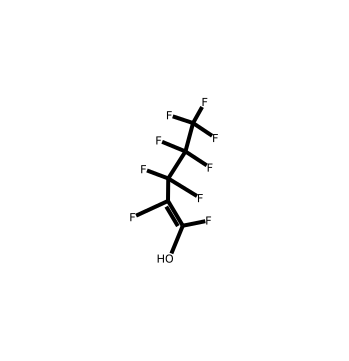 OC(F)=C(F)C(F)(F)C(F)(F)C(F)(F)F